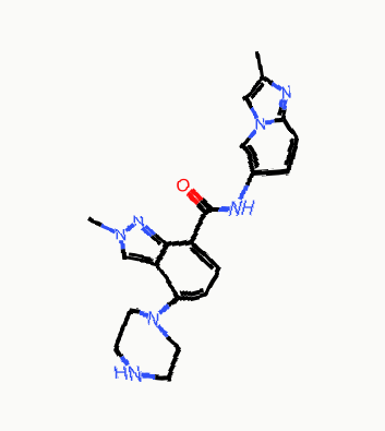 Cc1cn2cc(NC(=O)c3ccc(N4CCNCC4)c4cn(C)nc34)ccc2n1